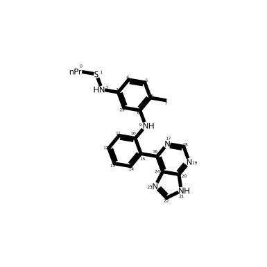 CCCSNc1ccc(C)c(Nc2ccccc2-c2ncnc3[nH]cnc23)c1